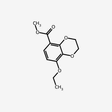 CCOc1ccc(C(=O)OC)c2c1OCCO2